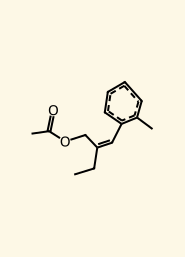 CCC(=Cc1ccccc1C)COC(C)=O